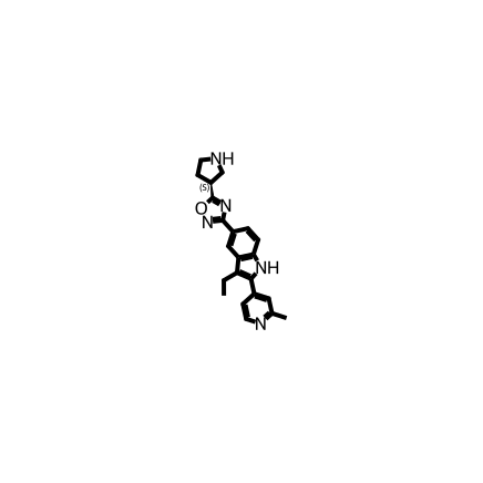 CCc1c(-c2ccnc(C)c2)[nH]c2ccc(-c3noc([C@H]4CCNC4)n3)cc12